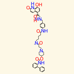 CN(CCCCC(=O)Nc1ccc(CNC[C@@H](O)c2ccc(O)c3[nH]c(=O)ccc23)cc1)C(=O)CCN1CCC(OC(=O)Nc2ccccc2-c2ccccc2)CC1